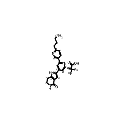 NCCCc1ccc(-c2cc(-c3cc4c([nH]3)CCNC4=O)ccn2)cn1.O=C(O)C(F)(F)F